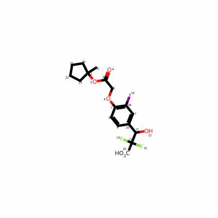 CC1(OC(=O)COc2ccc(C(O)C(F)(F)C(=O)O)cc2I)CCCC1